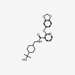 CC(C)(O)C1CCC(CNC(=O)c2cccnc2Oc2ccc3c(c2)OCO3)CC1